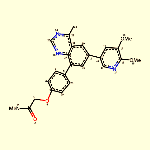 CNC(=O)COc1ccc(-c2cc(-c3cnc(OC)c(OC)c3)cc3c(C)ncnc23)cc1